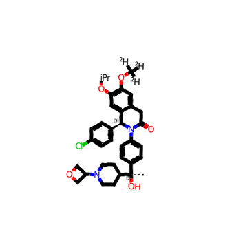 [2H]C([2H])([2H])Oc1cc2c(cc1OC(C)C)[C@H](c1ccc(Cl)cc1)N(c1ccc([C@@](C)(O)C3CCN(C4COC4)CC3)cc1)C(=O)C2